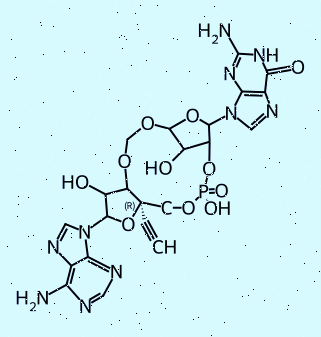 C#C[C@@]12COP(=O)(O)OC3C(O)C(OCOC1C(O)C(n1cnc4c(N)ncnc41)O2)OC3n1cnc2c(=O)[nH]c(N)nc21